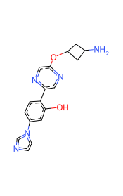 NC1CC(Oc2cnc(-c3ccc(-n4ccnc4)cc3O)cn2)C1